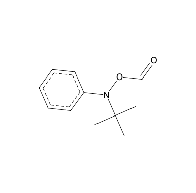 CC(C)(C)N(OC=O)c1ccccc1